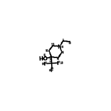 CCN1CCC(O)(C(F)(F)F)CC1